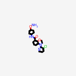 NOc1ccc(NC(=O)c2cccc3c2OCCN3c2ncccc2Cl)cc1